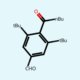 CCCCC(=O)c1c(C(C)(C)C)cc(C=O)cc1C(C)(C)C